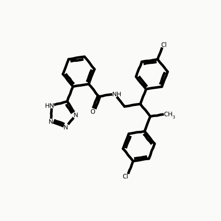 CC(c1ccc(Cl)cc1)C(CNC(=O)c1ccccc1-c1nnn[nH]1)c1ccc(Cl)cc1